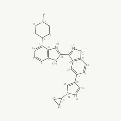 CN1CCC(c2nccc3[nH]c(-c4n[nH]c5ccc(-c6cnn(C7CC7)c6)cc45)nc23)CC1